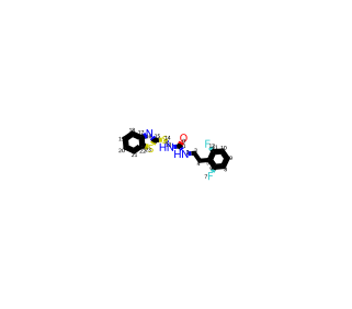 O=C(NCCc1c(F)cccc1F)NSc1nc2ccccc2s1